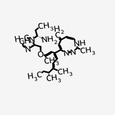 C=C1C=C(C(/C=C(\C)OCC(/N=C\C)N(C)[C@@H](N)CC)=C/C=C(\C)[C@H](C)CC)/N=N\C(C)N/C=C\1